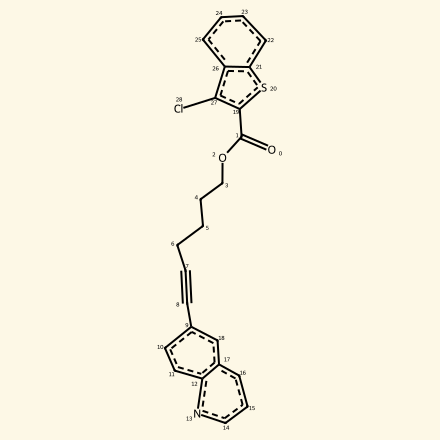 O=C(OCCCCC#Cc1ccc2ncccc2c1)c1sc2ccccc2c1Cl